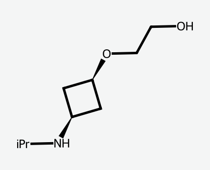 CC(C)N[C@H]1C[C@@H](OCCO)C1